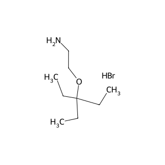 Br.CCC(CC)(CC)OCCN